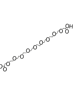 O=C(O)COCCOCCOCCOCCOCCOCCOCCOCCOCC(=O)O